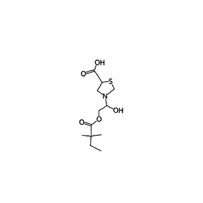 CCC(C)(C)C(=O)OCC(O)N1CSC(C(=O)O)C1